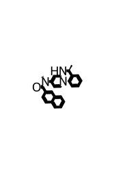 C[C@H](Nc1cc(N(C)C(=O)c2ccc3ccccc3c2)ccn1)c1ccccc1